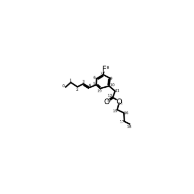 CCC/C=C/c1cc(F)cc(CC(=O)OCCCC)c1